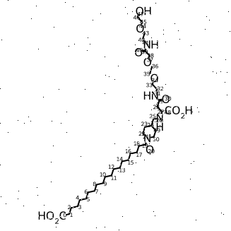 O=C(O)CCCCCCCCCCCCCCCCCCC(=O)N1CCC(CN[C@H](CC(=O)NCCOCCOCC(=O)NCCOCCO)C(=O)O)CC1